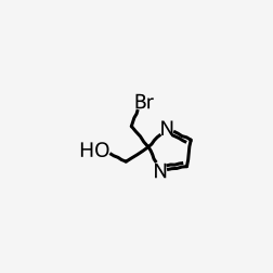 OCC1(CBr)N=CC=N1